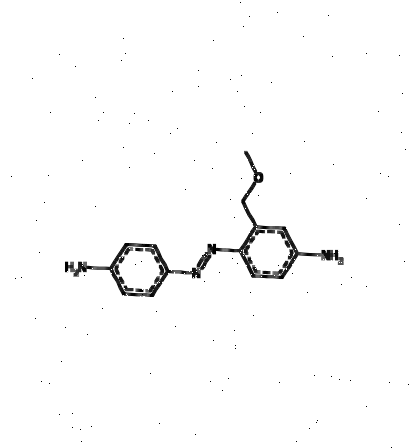 COCc1cc(N)ccc1N=Nc1ccc(N)cc1